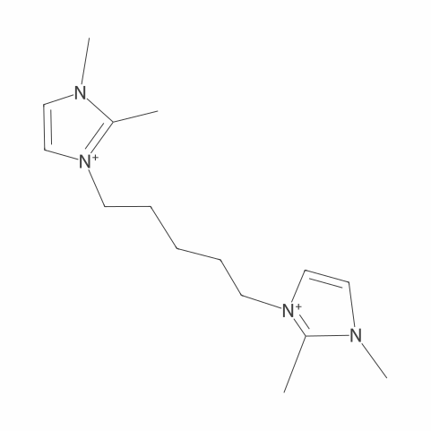 Cc1n(C)cc[n+]1CCCCC[n+]1ccn(C)c1C